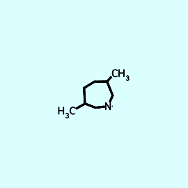 CC1CCC(C)C[N]C1